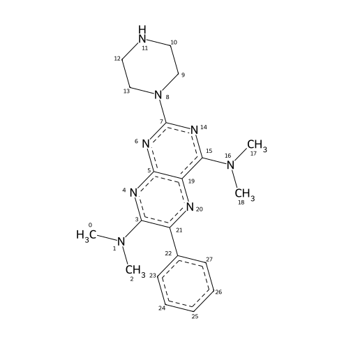 CN(C)c1nc2nc(N3CCNCC3)nc(N(C)C)c2nc1-c1ccccc1